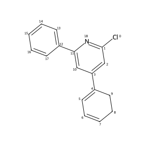 Clc1cc(C2=CC=CCC2)cc(-c2ccccc2)n1